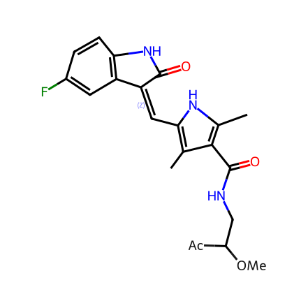 COC(CNC(=O)c1c(C)[nH]c(/C=C2\C(=O)Nc3ccc(F)cc32)c1C)C(C)=O